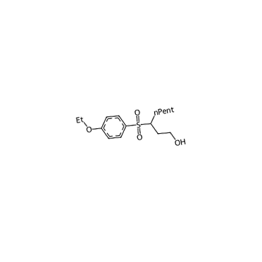 CCCCCC(CCO)S(=O)(=O)c1ccc(OCC)cc1